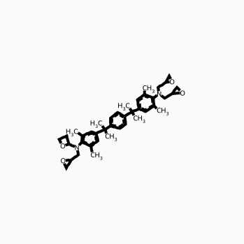 Cc1cc(C(C)(C)c2ccc(C(C)(C)c3cc(C)c(N(CC4CO4)C4CCO4)c(C)c3)cc2)cc(C)c1N(CC1CO1)CC1CO1